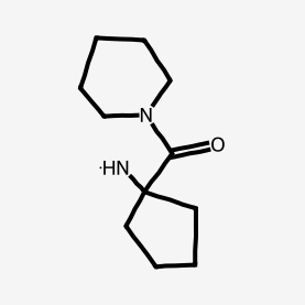 [NH]C1(C(=O)N2CCCCC2)CCCC1